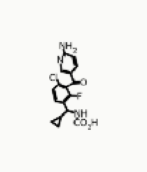 Nc1ccc(C(=O)c2c(Cl)ccc(C(NC(=O)O)C3CC3)c2F)cn1